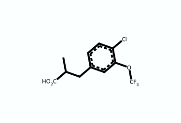 CC(Cc1ccc(Cl)c(OC(F)(F)F)c1)C(=O)O